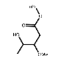 CCCOC(=O)CC(OC)C(C)O